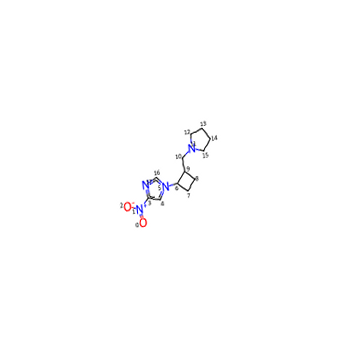 O=[N+]([O-])c1cn(C2CCC2CN2CCCC2)cn1